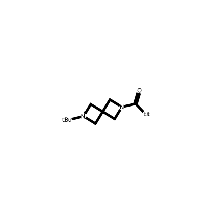 CCC(=O)N1CC2(C1)CN(C(C)(C)C)C2